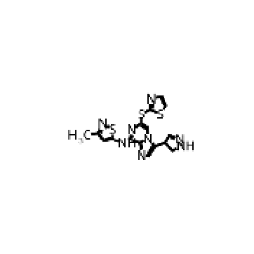 Cc1cc(Nc2nc(Sc3nccs3)cn3c(C4C=NNC4)cnc23)sn1